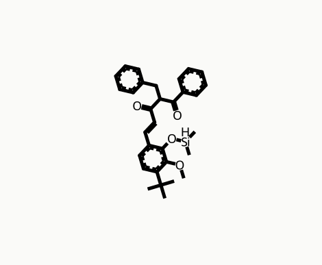 COc1c(C(C)(C)C)ccc(C=CC(=O)C(Cc2ccccc2)C(=O)c2ccccc2)c1O[SiH](C)C